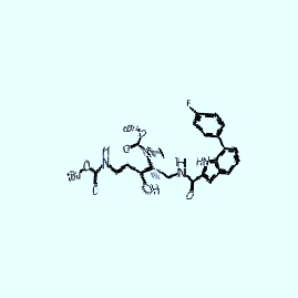 CC(C)(C)OC(=O)NCCC(O)[C@H](CNC(=O)c1cc2cccc(-c3ccc(F)cc3)c2[nH]1)NC(=O)OC(C)(C)C